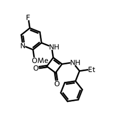 CCC(Nc1c(Nc2cc(F)cnc2OC)c(=O)c1=O)c1ccccc1